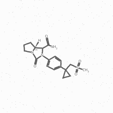 CS(=O)(=O)CC1(c2ccc(N3C(=O)N4CC[CH][C@@H]4C3C(N)=O)cc2)CC1